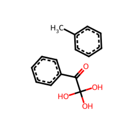 Cc1ccccc1.O=C(c1ccccc1)C(O)(O)O